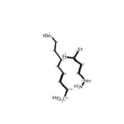 CCC(CC)CCNN.CCCCCCCCCCCCCCCCCC(=O)O